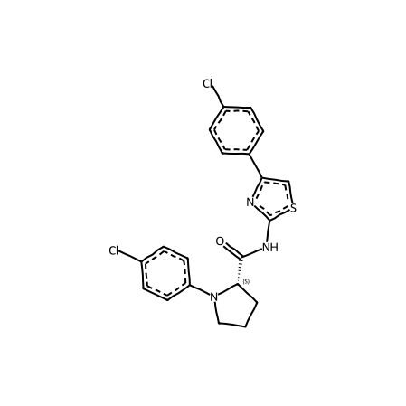 O=C(Nc1nc(-c2ccc(Cl)cc2)cs1)[C@@H]1CCCN1c1ccc(Cl)cc1